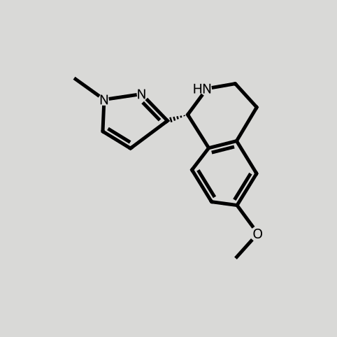 COc1ccc2c(c1)CCN[C@H]2c1ccn(C)n1